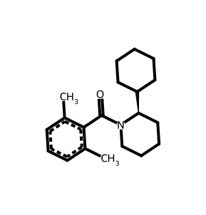 Cc1cccc(C)c1C(=O)N1CCCC[C@@H]1C1CCCCC1